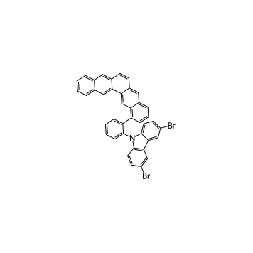 Brc1ccc2c(c1)c1cc(Br)ccc1n2-c1ccccc1-c1cccc2cc3ccc4cc5ccccc5cc4c3cc12